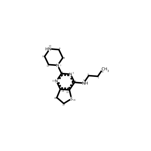 CCCNc1nc(N2CCNCC2)nc2c1SCC2